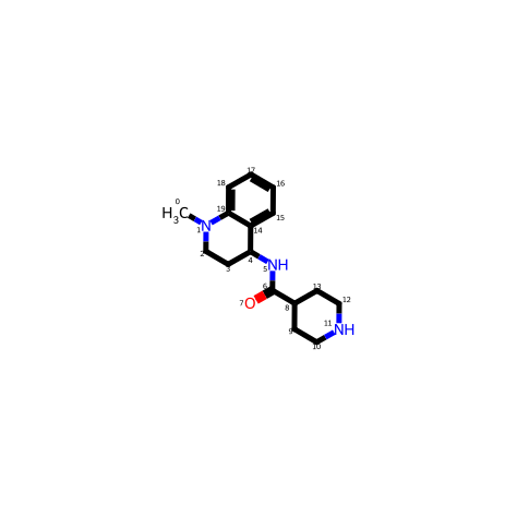 CN1CCC(NC(=O)C2CCNCC2)c2ccccc21